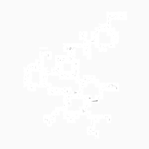 C=C/C=C(\C)[C@H](Oc1cc(-c2c(C)cccc2C)nc(NS(=O)(=O)c2cccc(C=O)c2)n1)[C@@H](CC(C)C)N(C)C(C)C